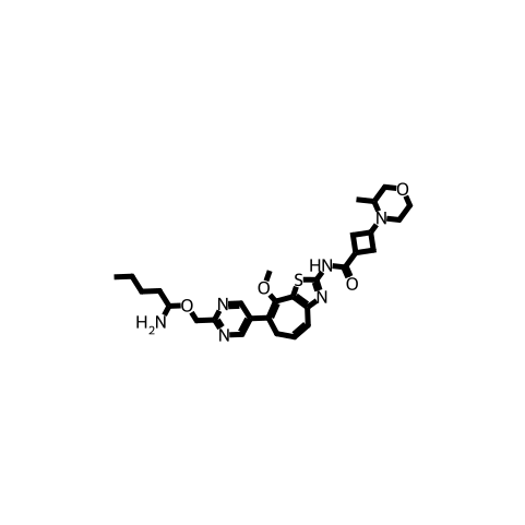 CCCCC(N)OCc1ncc(C2=C(OC)c3sc(NC(=O)C4CC(N5CCOCC5C)C4)nc3C=CC2)cn1